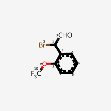 O=CC(Br)c1ccccc1OC(F)(F)F